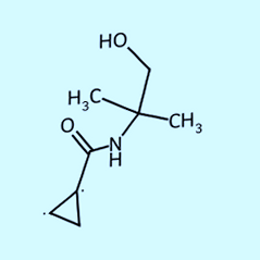 CC(C)(CO)NC(=O)[C]1[CH]C1